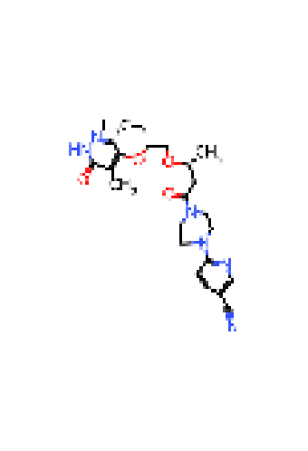 CC[C@H](CO[C@@H](C)CC(=O)N1CCN(c2ccc(C#N)cn2)CC1)Oc1cn[nH]c(=O)c1C